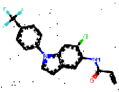 C=CC(=O)Nc1cc2ccn(-c3ccc(C(F)(F)F)cc3)c2cc1Cl